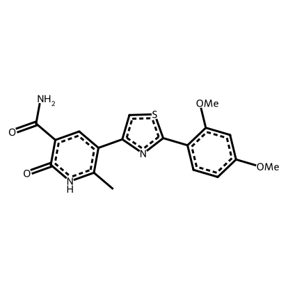 COc1ccc(-c2nc(-c3cc(C(N)=O)c(=O)[nH]c3C)cs2)c(OC)c1